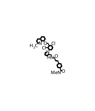 CNC(=O)c1ccc(C=CC(=O)NCc2cccn2-c2ccc(Cl)c(COc3cccc4ccc(C)nc34)c2Cl)cc1